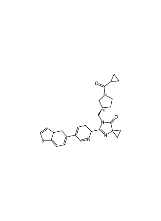 O=C(C1CC1)N1CC[C@@H](CN2C(=O)C3(CC3)N=C2C2CC=C(C3=CC=C4SC=CC4C3)C=N2)C1